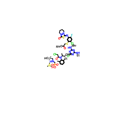 CCNc1nc(Cl)nc(NC(C)(C)C)n1.CCc1cccc(C)c1N(C(=O)CCl)C(C)COC.COC(=O)CSc1cc(/N=c2\sc(=O)n3n2CCCC3)c(F)cc1Cl.C[S+](C)C.O=C(O)CNCP(=O)([O-])O